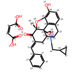 O=C(O)/C=C\C(=O)O.O=C1/C(=C/c2ccccc2)C[C@@]2(O)C3Cc4ccc(O)c5c4[C@@]2(CCN3CC2CC2)[C@H]1O5